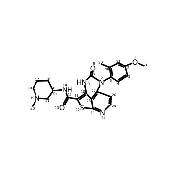 COc1ccc(N2C(=O)Nc3c(C(=O)N[C@@H]4CCCN(C)C4)sc4nccc2c34)c(C)c1